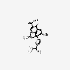 CC(C)C(N)C1CCN(c2c(F)cc3c(=O)c(C(=O)O)cn4c3c2CC4C)C1.Cl